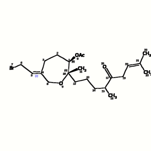 CC(=O)O[C@@H]1CC/C(=C\CBr)CO[C@@]1(C)CCCC(C)C(=O)CC=C(C)C